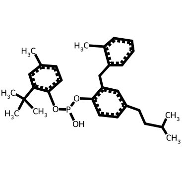 Cc1ccc(OP(O)Oc2ccc(CCC(C)C)cc2Cc2ccccc2C)c(C(C)(C)C)c1